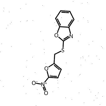 O=[N+]([O-])c1ccc(CSc2nc3ccccc3o2)o1